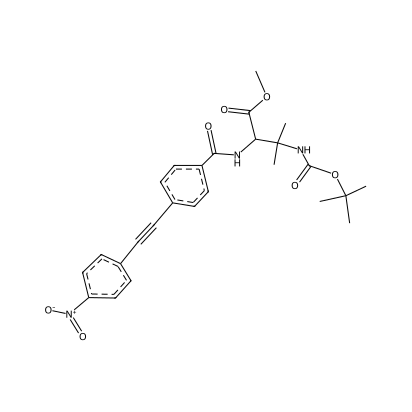 COC(=O)C(NC(=O)c1ccc(C#Cc2ccc([N+](=O)[O-])cc2)cc1)C(C)(C)NC(=O)OC(C)(C)C